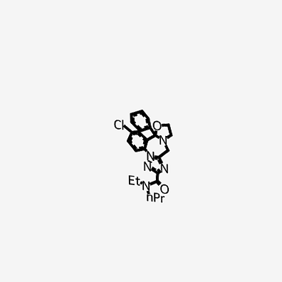 CCCN(CC)C(=O)c1nc2n(n1)-c1ccc(Cl)cc1C1(c3ccccc3)OCCN1C2